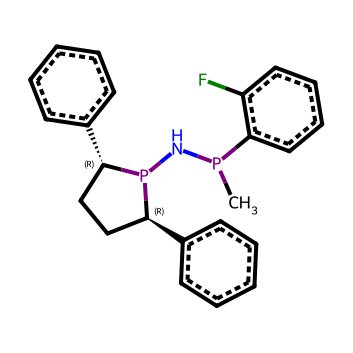 CP(NP1[C@@H](c2ccccc2)CC[C@@H]1c1ccccc1)c1ccccc1F